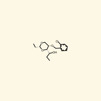 CCC(O)[C@@H]1O[C@H](CC)OC[C@@H]1OCc1ccccc1Cl